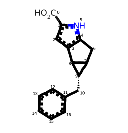 O=C(O)c1cc2c([nH]1)CC1C2[C@H]1Cc1ccccc1